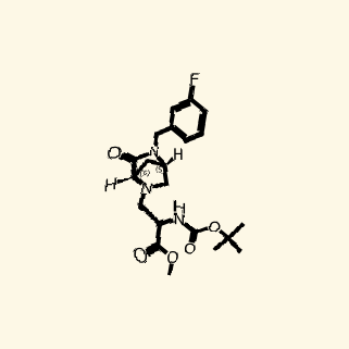 COC(=O)C(CN1C[C@@H]2C[C@H]1C(=O)N2Cc1cccc(F)c1)NC(=O)OC(C)(C)C